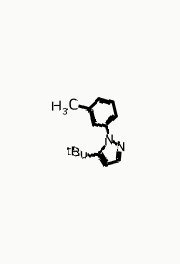 Cc1cccc(-n2nccc2C(C)(C)C)c1